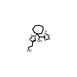 OCCc1cn(C2(C(O)c3nnn[nH]3)CCCCCCC2)nn1